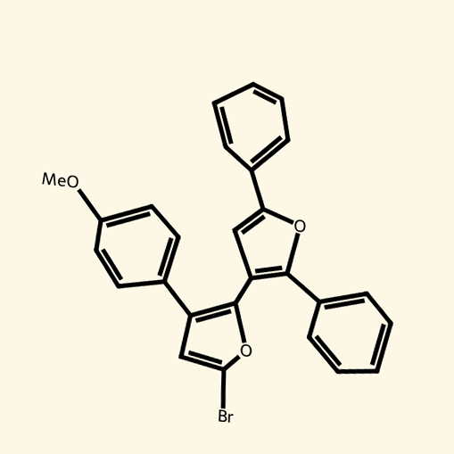 COc1ccc(-c2cc(Br)oc2-c2cc(-c3ccccc3)oc2-c2ccccc2)cc1